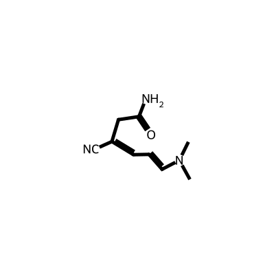 CN(C)C=CC=C(C#N)CC(N)=O